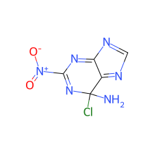 NC1(Cl)N=C([N+](=O)[O-])N=C2N=CN=C21